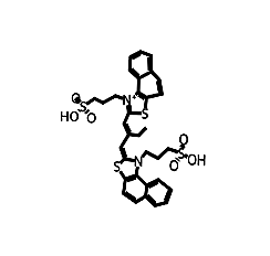 CCC(=C\c1sc2ccc3ccccc3c2[n+]1CCCS(=O)(=O)O)/C=C1/Sc2ccc3ccccc3c2N1CCCS(=O)(=O)O